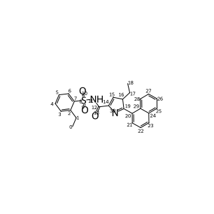 CCc1ccccc1S(=O)(=O)NC(=O)C1=CC(CC)C(c2cccc3ccccc23)=N1